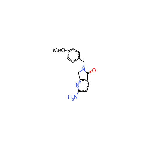 COc1ccc(CN2Cc3nc(N)ccc3C2=O)cc1